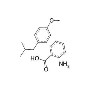 COc1ccc(CC(C)C)cc1.N.O=C(O)c1ccccc1